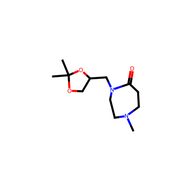 CN1CCC(=O)N(CC2COC(C)(C)O2)CC1